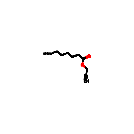 C#CCOC(=O)CCCCCCCCCCC